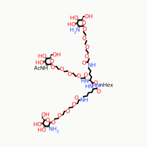 CCCCCCNC(=O)C(CCCCNC(=O)COCCOCCOCCO[C@@H]1O[C@H](CO)[C@H](O)[C@H](O)[C@H]1N)NC(=O)C(CCCCNC(=O)COCCOCCOCCO[C@@H]1O[C@H](CO)[C@H](O)[C@H](O)[C@H]1N)NC(=O)COCCOCCOCCO[C@@H]1O[C@H](CO)[C@H](O)[C@H](O)[C@H]1NC(C)=O